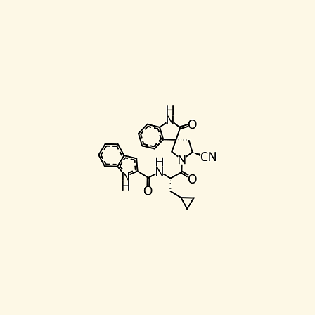 N#C[C@@H]1C[C@@]2(CN1C(=O)[C@H](CC1CC1)NC(=O)c1cc3ccccc3[nH]1)C(=O)Nc1ccccc12